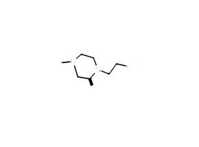 O=C1CN(I)CCN1CCO